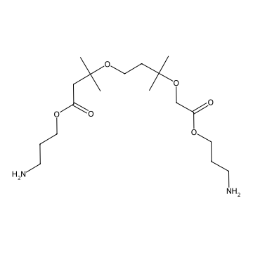 CC(C)(CCOC(C)(C)CC(=O)OCCCN)OCC(=O)OCCCN